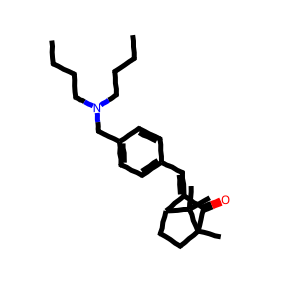 CCCCN(CCCC)Cc1ccc(C=C2C(=O)C3(C)CCC2C3(C)C)cc1